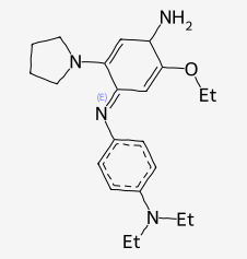 CCOC1=C/C(=N\c2ccc(N(CC)CC)cc2)C(N2CCCC2)=CC1N